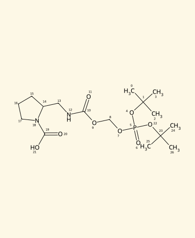 CC(C)(C)OP(=O)(OCOC(=O)NCC1CCCN1C(=O)O)OC(C)(C)C